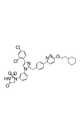 O=C1CN(c2cccc(-n3cc(-c4ccc(Cl)cc4Cl)nc3Cc3ccc(-c4ccc(OCCC5CCCCC5)nn4)cc3)c2)S(=O)(=O)N1